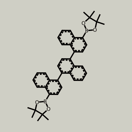 CC1(C)OB(c2ccc(-c3ccc(-c4ccc(B5OC(C)(C)C(C)(C)O5)c5ccccc45)c4ccccc34)c3ccccc23)OC1(C)C